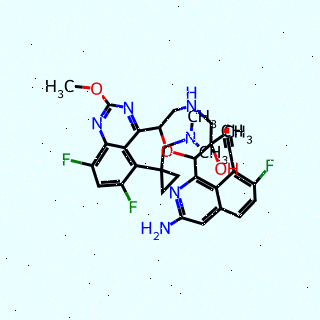 C#Cc1c(F)ccc2cc(N)nc(C3OC(c4nc(OC)nc5c(F)cc(F)c(C6(CN(C)C)CC6)c45)CNCC3(C)O)c12